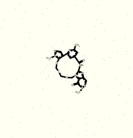 Cc1cc2cc(n1)-c1cnn(C)c1OCCCCCn1c(nc3cnn(C)c(=O)c31)NC2=O